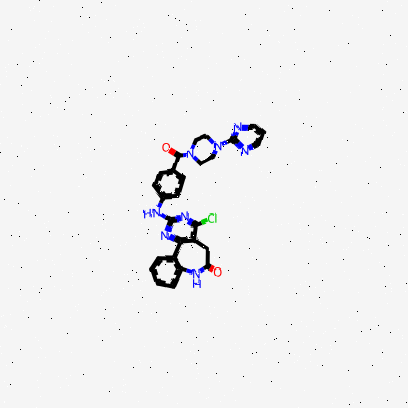 O=C1Cc2c(Cl)nc(Nc3ccc(C(=O)N4CCN(c5ncccn5)CC4)cc3)nc2-c2ccccc2N1